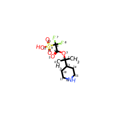 CC(C)(OC(=O)C(F)(F)S(=O)(=O)O)C1CCNCC1